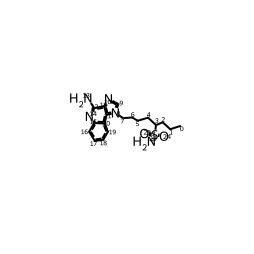 CCCC(CCCCn1cnc2c(N)nc3ccccc3c21)S(N)(=O)=O